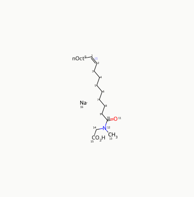 CCCCCCCC/C=C\CCCCCCCC(=O)N(C)CC(=O)O.[Na]